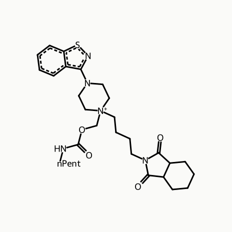 CCCCCNC(=O)OC[N+]1(CCCCN2C(=O)C3CCCCC3C2=O)CCN(c2nsc3ccccc23)CC1